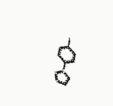 Fc1c[c]c(-n2ccnn2)cc1